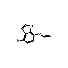 O=COc1ccc(Br)c2cc[nH]c12